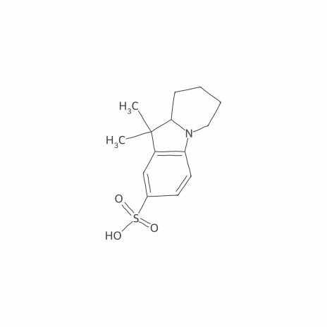 CC1(C)c2cc(S(=O)(=O)O)ccc2N2CCCCC21